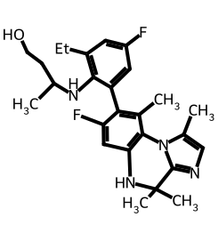 CCc1cc(F)cc(-c2c(F)cc3c(c2C)-n2c(C)cnc2C(C)(C)N3)c1NC(C)CCO